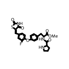 COC(=O)C(Cc1ccc(Oc2ccc(C=C3SC(=O)NC3=O)cc2F)cc1)NC(=O)C1CCCN1